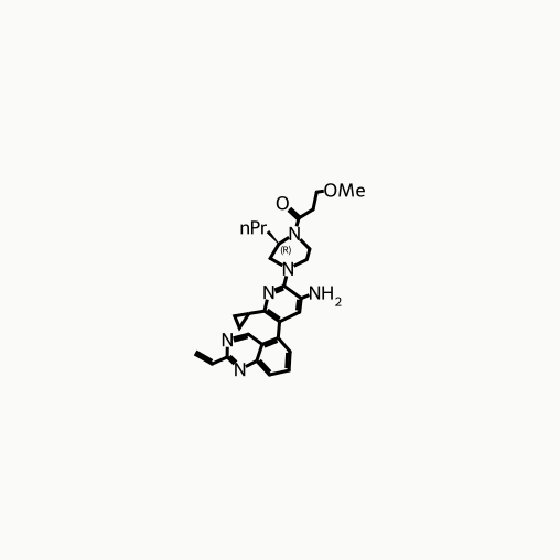 C=Cc1ncc2c(-c3cc(N)c(N4CCN(C(=O)CCOC)[C@H](CCC)C4)nc3C3CC3)cccc2n1